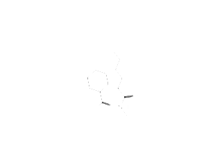 CCCCCC(=O)NC.O=C(O)C1CCCCC1